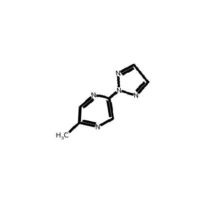 Cc1cnc(-n2nccn2)cn1